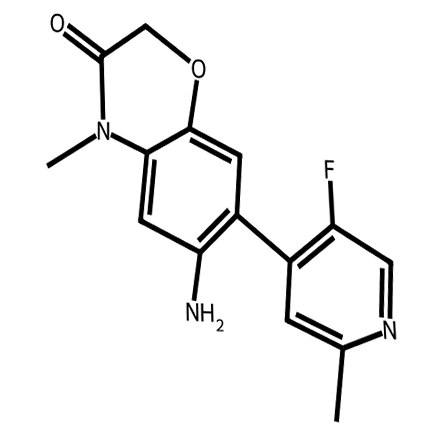 Cc1cc(-c2cc3c(cc2N)N(C)C(=O)CO3)c(F)cn1